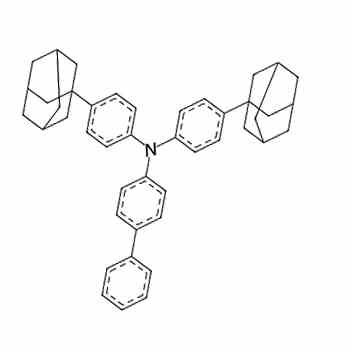 c1ccc(-c2ccc(N(c3ccc(C45CC6CC(CC(C6)C4)C5)cc3)c3ccc(C45CC6CC(CC(C6)C4)C5)cc3)cc2)cc1